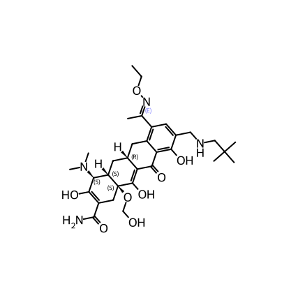 CCO/N=C(\C)c1cc(CNCC(C)(C)C)c(O)c2c1C[C@H]1C[C@H]3[C@H](N(C)C)C(O)=C(C(N)=O)C[C@@]3(OCO)C(O)=C1C2=O